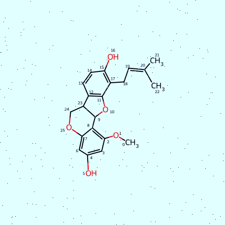 COc1cc(O)cc2c1C1Oc3c(ccc(O)c3CC=C(C)C)C1CO2